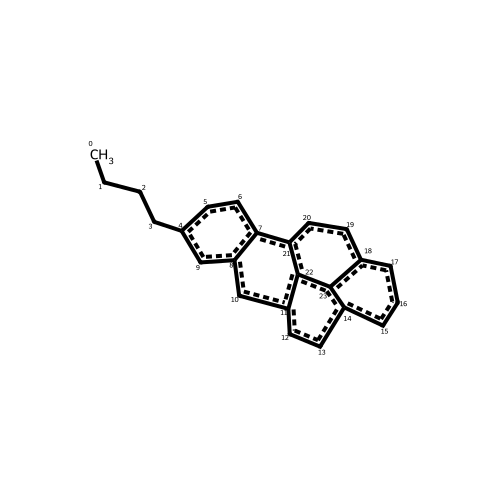 CCCCc1ccc2c(c1)cc1ccc3cccc4ccc2c1c34